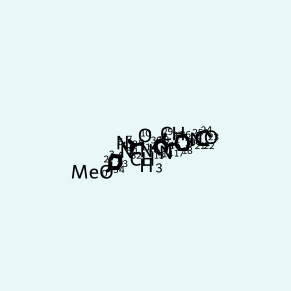 COc1ccc(-n2ncc(C(=O)Nc3cnc(C4=CCC(N5CCOCC5)CC4)c(C)c3)c2C)cc1